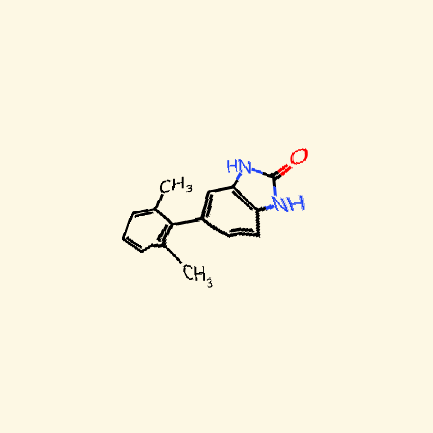 Cc1cccc(C)c1-c1ccc2[nH]c(=O)[nH]c2c1